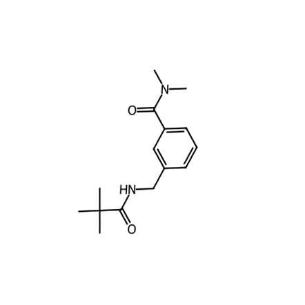 CN(C)C(=O)c1cccc(CNC(=O)C(C)(C)C)c1